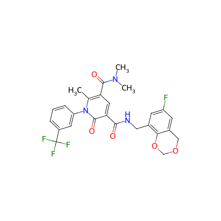 Cc1c(C(=O)N(C)C)cc(C(=O)NCc2cc(F)cc3c2OCOC3)c(=O)n1-c1cccc(C(F)(F)F)c1